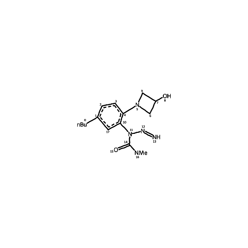 CCCCc1ccc(N2CC(O)C2)c(N(N=N)C(=O)NC)c1